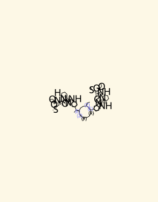 C/C=C1\C=C(\c2ccc3[nH]c([C@@H]4CCCCN4C(=O)[C@H](CCSC)NC(=O)OC)nc3c2)[C@H](C)CC[C@@H](C)/C=C\C(=C(/C)c2ccc3[nH]c([C@@H]4CCCCN4C(=O)[C@H](CCSC)NC(=O)OC)nc3c2)CC1